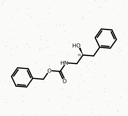 O=C(NC[C@@H](O)Cc1ccccc1)OCc1ccccc1